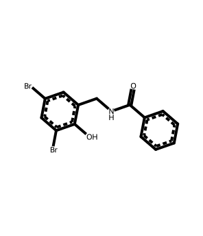 O=C(NCc1cc(Br)cc(Br)c1O)c1ccccc1